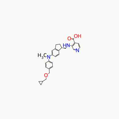 CN(c1ccc(COCC2CC2)cc1)c1ccc2c(c1)CC[C@H]2CNc1cnccc1C(=O)O